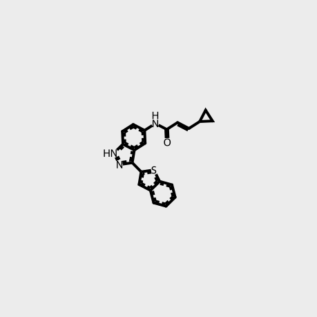 O=C(C=CC1CC1)Nc1ccc2[nH]nc(-c3cc4ccccc4s3)c2c1